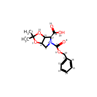 CC1(C)OC2CN(C(=O)OCc3ccccc3)[C@H](C(=O)O)C2O1